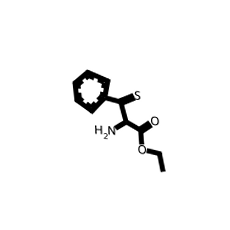 CCOC(=O)C(N)C(=S)c1ccccc1